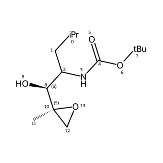 CC(C)CC(NC(=O)OC(C)(C)C)[C@H](O)[C@]1(C)CO1